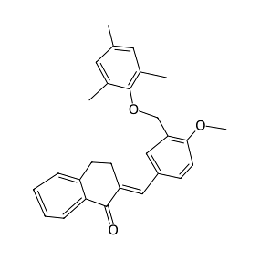 COc1ccc(/C=C2\CCc3ccccc3C2=O)cc1COc1c(C)cc(C)cc1C